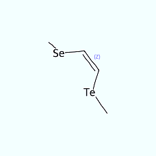 C[Se]/C=C\[Te]C